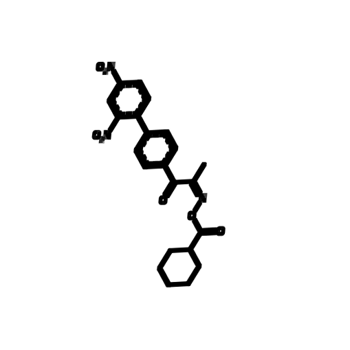 C/C(=N/OC(=O)C1CCCCC1)C(=O)c1ccc(-c2ccc([N+](=O)[O-])cc2[N+](=O)[O-])cc1